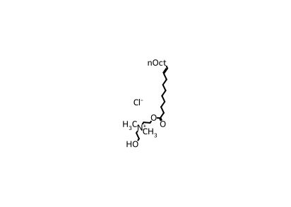 CCCCCCCCC=CCCCCCCCC(=O)OCC[N+](C)(C)CCO.[Cl-]